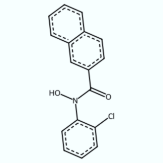 O=C(c1ccc2ccccc2c1)N(O)c1ccccc1Cl